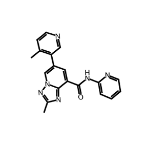 Cc1nc2c(C(=O)Nc3ccccn3)cc(-c3cnccc3C)cn2n1